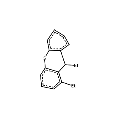 CCc1cccc2c1C(CC)c1ccccc1S2